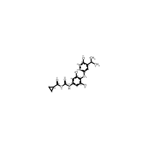 CC(C)c1cc(Oc2c(Cl)cc(NC(=O)OC(=O)C3CC3)cc2Cl)nnc1Cl